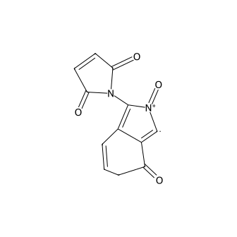 O=C1CC=CC2=C(N3C(=O)C=CC3=O)[N+](=O)[C]=C12